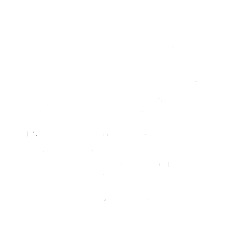 Cc1ccccc1C(CC(=O)OCc1ccccc1)Oc1cccc2[nH]ccc12